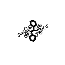 O=S(=O)(N=C=S)S(=O)(=O)C(=C(c1ccccc1)S(=O)(=O)S(=O)(=O)N=C=S)c1ccccc1